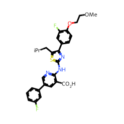 COCCOc1ccc(-c2nc(Nc3ncc(-c4cccc(F)c4)cc3C(=O)O)sc2CC(C)C)cc1F